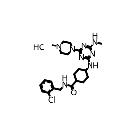 CNc1nc(NC2CCC(C(=O)NCc3ccccc3Cl)CC2)nc(N2CCN(C)CC2)n1.Cl